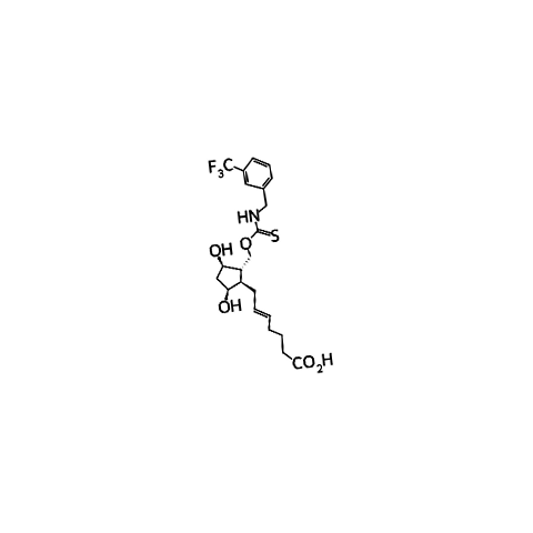 O=C(O)CCCC=CC[C@@H]1[C@@H](COC(=S)NCc2cccc(C(F)(F)F)c2)[C@H](O)C[C@@H]1O